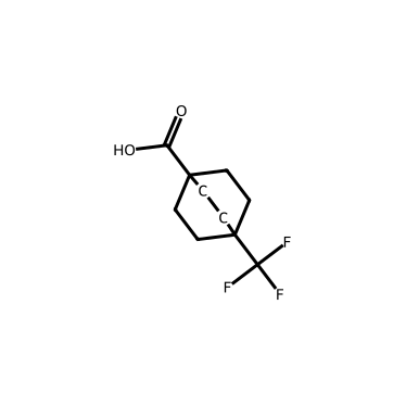 O=C(O)C12CCC(C(F)(F)F)(CC1)CC2